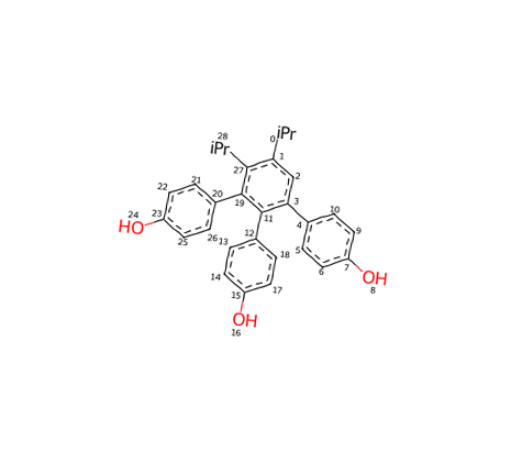 CC(C)c1cc(-c2ccc(O)cc2)c(-c2ccc(O)cc2)c(-c2ccc(O)cc2)c1C(C)C